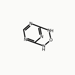 c1nc2nc(n1)NON2